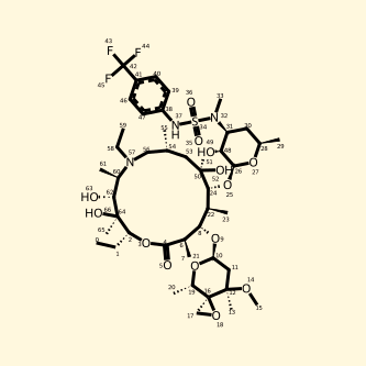 CC[C@H]1OC(=O)[C@H](C)[C@@H](O[C@H]2C[C@@](C)(OC)[C@]3(CO3)[C@H](C)O2)[C@H](C)[C@@H](O[C@@H]2O[C@H](C)C[C@H](N(C)S(=O)(=O)Nc3ccc(C(F)(F)F)cc3)[C@H]2O)[C@](C)(O)C[C@@H](C)CN(CC)[C@H](C)[C@@H](O)[C@]1(C)O